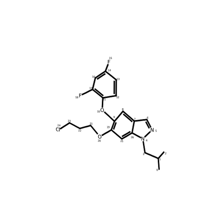 CC(C)Cn1ncc2cc(Oc3ccc(F)cc3F)c(OCCCCl)cc21